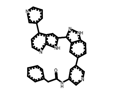 O=C(Cc1ccccc1)Nc1cncc(-c2ccc3[nH]nc(-c4cc5c(-c6cccnc6)ccnc5[nH]4)c3c2)c1